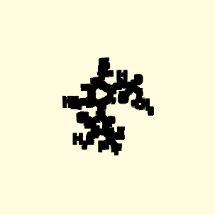 CCS(=O)(=O)Nc1cc(-n2nc(C(F)(F)F)n(C)c2=O)c(F)cc1C#N.[KH]